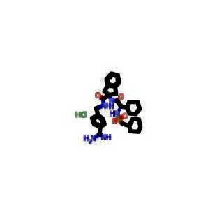 Cl.N=C(N)c1ccc(CNC(=O)C2(NC(=O)[C@H](NS(=O)(=O)CC3CCCCC3)C3CCCCC3)Cc3ccccc3C2)cc1